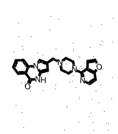 O=c1[nH]c2cc(CN3CCN(c4nccc5occc45)CC3)cn2c2ccccc12